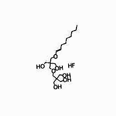 CCCCCCCC=COCC(CO)(CO)COCC(CO)(CO)CO.F